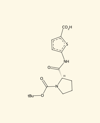 CC(C)(C)OC(=O)N1CCC[C@H]1C(=O)Nc1ccc(C(=O)O)s1